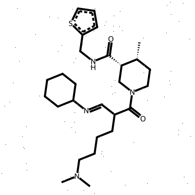 C[C@@H]1CCN(C(=O)C(/C=N/C2CCCCC2)CCCCN(C)C)C[C@@H]1C(=O)NCc1cccs1